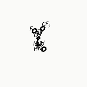 C[C@@]1(C(=O)Nc2ccccc2)CN=C(C23CC(N(Cc4ccc(C(F)(F)F)cc4)S(=O)(=O)c4ccc(F)cc4)(C2)C3)N1